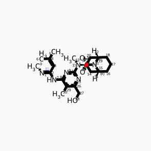 C/N=C(\C=C(C)C)Nc1nc(N(C)[C@@H]2C[C@H]3CCC[C@@H](C2)N3[SH](=O)=O)nc(CO)c1C